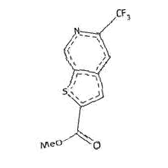 COC(=O)c1cc2cc(C(F)(F)F)ncc2s1